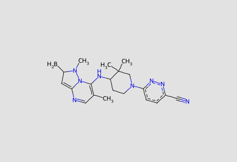 BC1C=C2N=CC(C)=C(NC3CCN(c4ccc(C#N)nn4)CC3(C)C)N2N1C